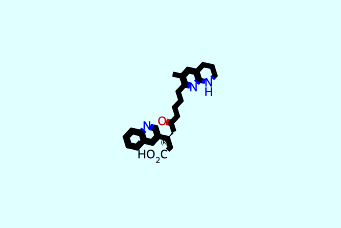 Cc1cc2c(nc1CCCCC(=O)C[C@H](CC(=O)O)c1cnc3ccccc3c1)NCCC2